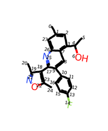 Cc1cc(C(C)O)c2cc(-c3ccc(F)cc3)c(-c3c(C)noc3C)nc2c1